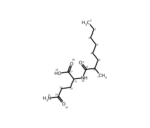 CCCCCCC(C)C(=O)NC(CCC(N)=O)C(=O)O